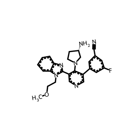 COCCn1c(-c2cncc(-c3cc(F)cc(C#N)c3)c2N2CC[C@H](N)C2)nc2ccccc21